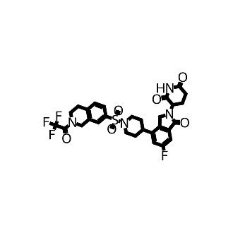 O=C1CCC(N2Cc3c(cc(F)cc3C3CCN(S(=O)(=O)c4ccc5c(c4)CN(C(=O)C(F)(F)F)CC5)CC3)C2=O)C(=O)N1